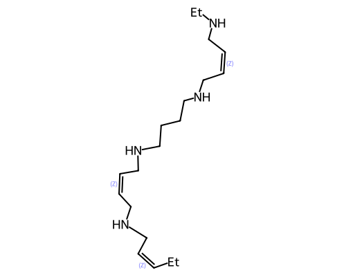 CC/C=C\CNC/C=C\CNCCCCNC/C=C\CNCC